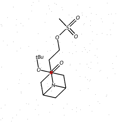 CC(C)(C)OC(=O)N1C2CC1CN(CCOS(C)(=O)=O)C2